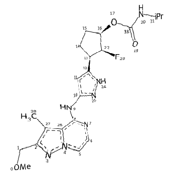 COCc1nn2ccnc(Nc3cc([C@H]4CC[C@@H](OC(=O)NC(C)C)[C@H]4F)[nH]n3)c2c1C